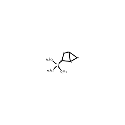 CO[Si](OC)(OC)C1CC2CC21